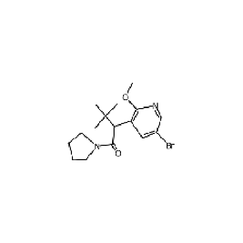 COc1ncc(Br)cc1C(C(=O)N1CCCC1)C(C)(C)C